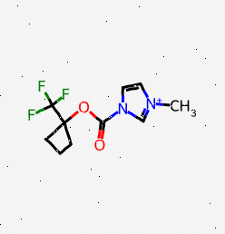 C[n+]1ccn(C(=O)OC2(C(F)(F)F)CCC2)c1